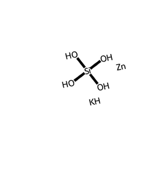 O[Si](O)(O)O.[KH].[Zn]